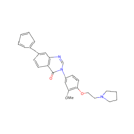 COc1cc(-n2cnc3cc(-c4ccccc4)ccc3c2=O)ccc1OCCN1CCCC1